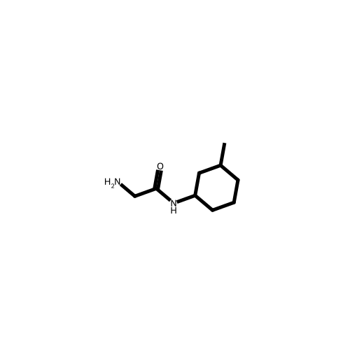 CC1CCCC(NC(=O)CN)C1